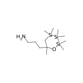 CC1(CCCN)C[Si](C)(C)[Si](C)(C)[Si](C)(C)O1